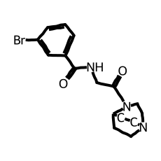 O=C(NCC(=O)N1CCN2CCC1CC2)c1cccc(Br)c1